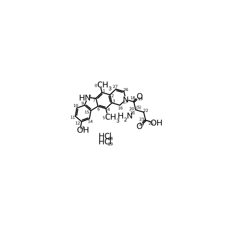 Cc1c2c(c(C)c3c1[nH]c1ccc(O)cc13)CN(C(=O)[C@@H](N)CC(=O)O)C=C2.Cl.Cl